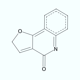 O=C1N=c2ccccc2=C2OCC=C12